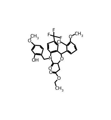 CCOC(=O)CC1OC(c2cccc(OC)c2Cl)c2cc(C(F)(F)F)ccc2N(Cc2ccc(OC)cc2O)C1=O